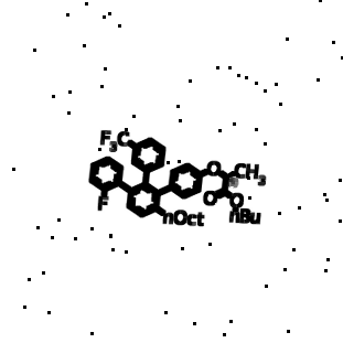 CCCCCCCCc1ccc(-c2ccccc2F)c(-c2cccc(C(F)(F)F)c2)c1-c1ccc(O[C@@H](C)C(=O)OCCCC)cc1